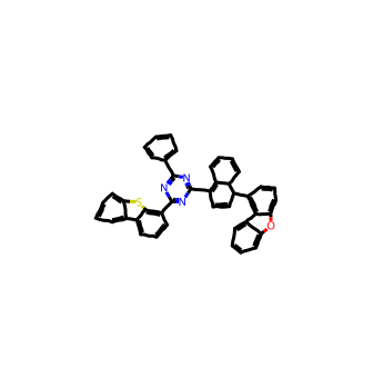 C1=CC2=C(c3nc(-c4ccccc4)nc(-c4cccc5c4sc4ccccc45)n3)C=CC(c3cccc4oc5ccccc5c34)C2C=C1